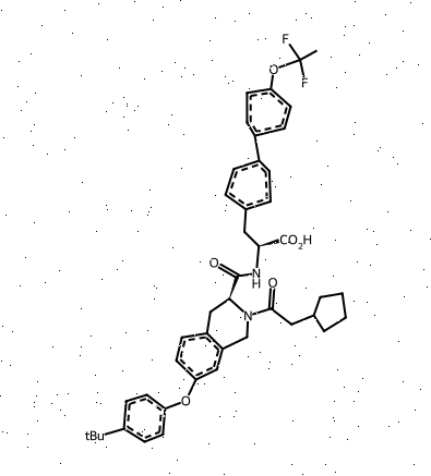 CC(F)(F)Oc1ccc(-c2ccc(C[C@H](NC(=O)[C@@H]3Cc4ccc(Oc5ccc(C(C)(C)C)cc5)cc4CN3C(=O)CC3CCCC3)C(=O)O)cc2)cc1